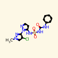 Cn1cc(Cl)c(-n2nccc2NS(=O)(=O)NC(=O)Nc2ccccc2)n1